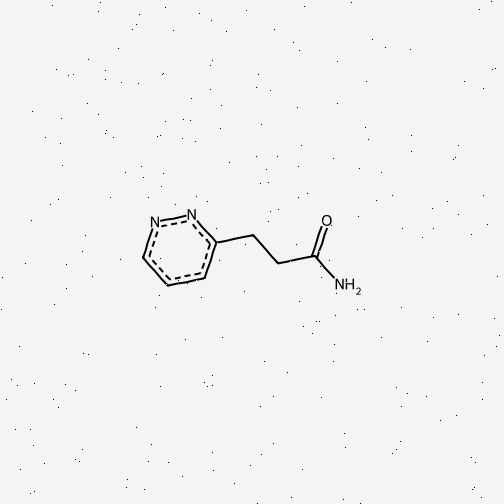 NC(=O)CCc1cccnn1